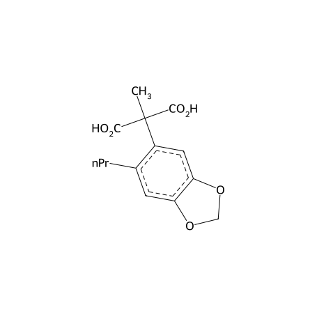 CCCc1cc2c(cc1C(C)(C(=O)O)C(=O)O)OCO2